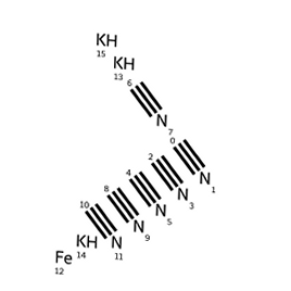 C#N.C#N.C#N.C#N.C#N.C#N.[Fe].[KH].[KH].[KH]